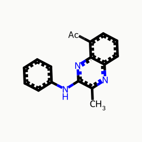 CC(=O)c1cccc2nc(C)c(Nc3ccccc3)nc12